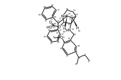 CCC(C)c1ccc(OC)c(CN[C@H]2C3CCN(C(OC(=O)O)C3)[C@H]2C(c2ccccc2)c2ccccc2)c1